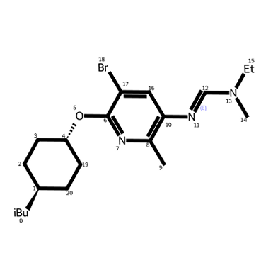 CCC(C)[C@H]1CC[C@H](Oc2nc(C)c(/N=C/N(C)CC)cc2Br)CC1